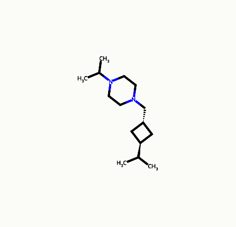 CC(C)N1CCN(C[C@H]2C[C@H](C(C)C)C2)CC1